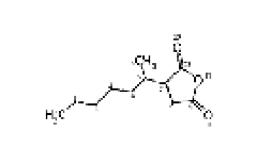 CCCCCC(C)C1CC(=O)OC1=O